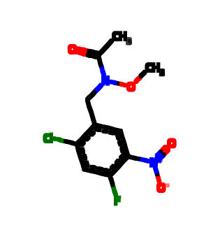 CON(Cc1cc([N+](=O)[O-])c(F)cc1Cl)C(C)=O